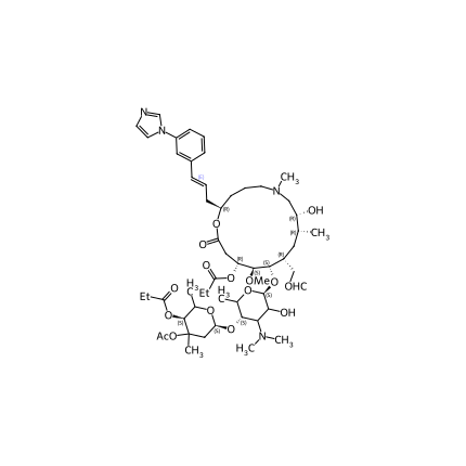 CCC(=O)O[C@@H]1CC(=O)O[C@@H](C/C=C/c2cccc(-n3ccnc3)c2)CCCN(C)C[C@H](O)[C@H](C)C[C@H](CC=O)[C@H](O[C@@H]2OC(C)[C@@H](O[C@H]3CC(C)(OC(C)=O)[C@@H](OC(=O)CC)C(C)O3)C(N(C)C)C2O)[C@H]1OC